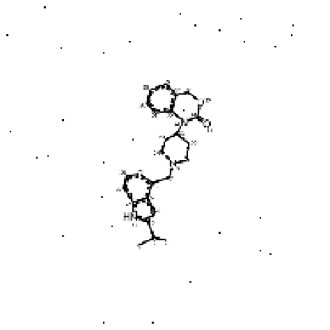 CC(C)c1cc2c(CN3CCC(N4C(=O)OCc5ccccc54)CC3)cccc2[nH]1